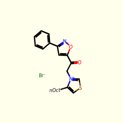 CCCCCCCCc1csc[n+]1CC(=O)c1cc(-c2ccccc2)no1.[Br-]